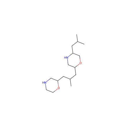 CC(C)CC1COC(CC(C)CC2CNCCO2)CN1